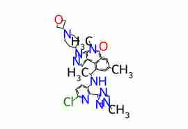 Cc1cc(C(C)Nc2ccc(Cl)nc2-c2ncn(C)n2)c2c(c1)c(=O)n(C)c1c2cnn1C1CCN(C2COC2)CC1